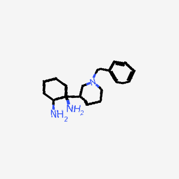 NC1CCCCC1(N)C1CCCN(Cc2ccccc2)C1